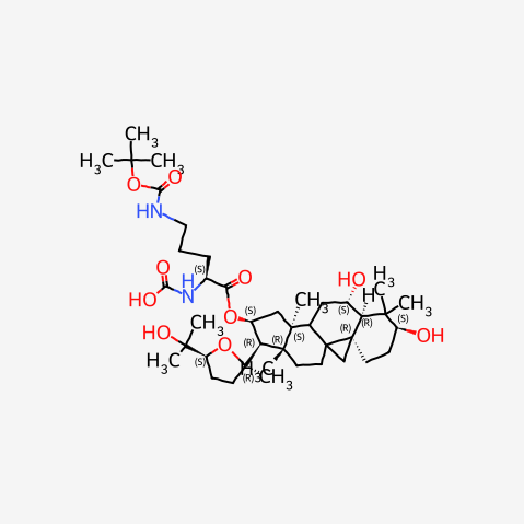 CC(C)(C)OC(=O)NCCC[C@H](NC(=O)O)C(=O)O[C@H]1C[C@@]2(C)C3C[C@H](O)[C@H]4C(C)(C)[C@@H](O)CC[C@@]45CC35CC[C@]2(C)[C@H]1[C@@]1(C)CC[C@@H](C(C)(C)O)O1